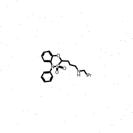 CC(C)CNCCCC1Oc2ccccc2N(c2ccccc2)S1(=O)=O